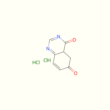 Cl.Cl.O=C1C=CC2=NC=NC(=O)C2C1